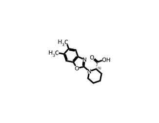 Cc1cc2nc(N3CCCC[C@H]3C(=O)O)oc2cc1C